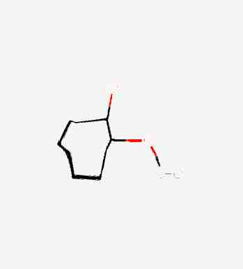 O=[C]OC1CCCCC1O